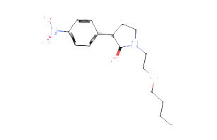 CCCCOCCN1CCC(c2ccc([N+](=O)[O-])cc2)C1=O